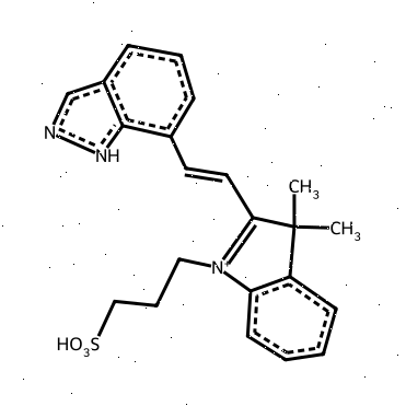 CC1(C)C(/C=C/c2cccc3cn[nH]c23)=[N+](CCCS(=O)(=O)O)c2ccccc21